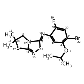 CC(C)Oc1cc(/N=c2\snc3n2CC(C)(C)S3)c(F)cc1Br